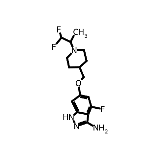 CC(C(F)F)N1CCC(COc2cc(F)c3c(N)n[nH]c3c2)CC1